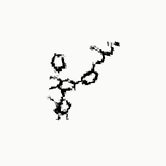 CNCC(O)COc1cccc(-c2nc(N[C@@H]3CCOC3)c(C)c(N3C[C@H]4C[C@@H]3CN4C)n2)c1